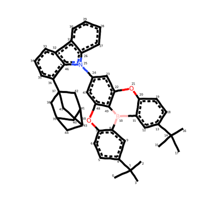 CC(C)(C)c1ccc2c(c1)B1c3cc(C(C)(C)C)ccc3Oc3cc(-n4c5ccccc5c5cccc(C67CC8CC(C6)C(C8)C7)c54)cc(c31)O2